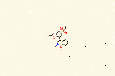 CCS(=O)(=O)c1cc(-c2cn(C)c(=O)c3ccccc23)c2oc(C3CC3)cc2c1